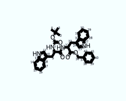 CC(C)(C)OC(=O)NC(Cc1c[nH]c2ccccc12)C(=O)NC(Cc1c[nH]c2ccccc12)C(=O)OCc1ccccc1